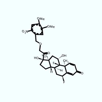 COc1cc(COCC(=O)[C@@]2(O)CC[C@H]3[C@@H]4C[C@H](F)C5=CC(=O)C=C[C@]5(C)[C@@]4(F)[C@@H](O)C[C@@]32C)c([N+](=O)[O-])cc1OC